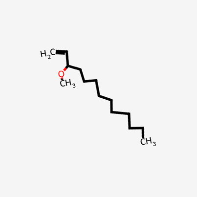 C=CC(CCCCCCCCCC)OC